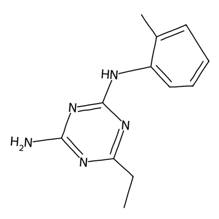 CCc1nc(N)nc(Nc2ccccc2C)n1